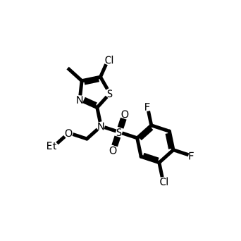 CCOCN(c1nc(C)c(Cl)s1)S(=O)(=O)c1cc(Cl)c(F)cc1F